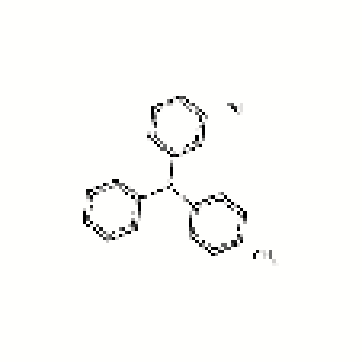 C.[Pd].c1ccc(P(c2ccccc2)c2ccccc2)cc1